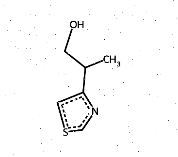 CC(CO)c1cscn1